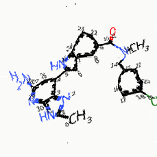 Cc1nc2c(-c3cc4cc(C(=O)N(C)Cc5ccc(Cl)cc5)ccc4[nH]3)cc(N)nc2[nH]1